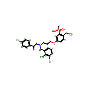 CC(CN(CCCOc1ccc(CO)c(S(C)(=O)=O)c1)Cc1cccc(C(F)(F)F)c1Cl)c1ccc(F)cc1